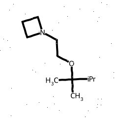 CC(C)C(C)(C)OCCN1CCC1